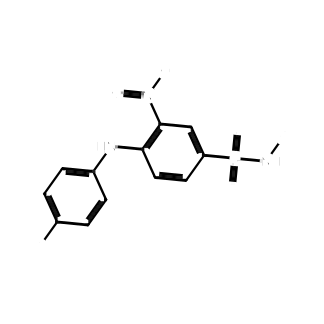 CNS(=O)(=O)c1ccc(Nc2ccc(C)cc2)c([N+](=O)[O-])c1